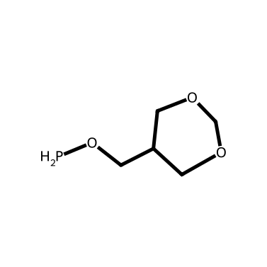 POCC1COCOC1